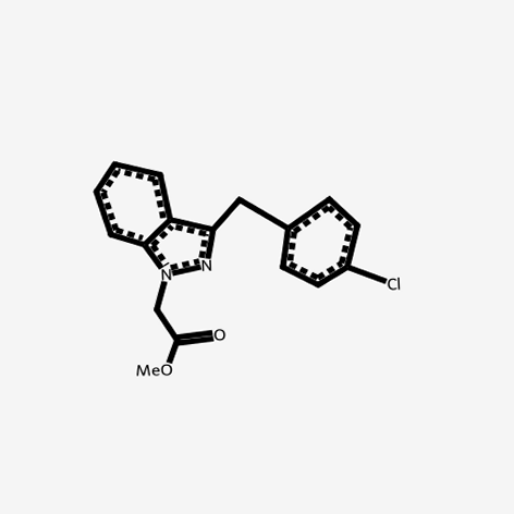 COC(=O)Cn1nc(Cc2ccc(Cl)cc2)c2ccccc21